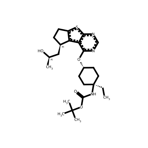 CC[C@]1(NC(=O)OC(C)(C)C)CC[C@H](Oc2ncnc3sc4c(c23)[C@@H](C[C@@H](C)O)CC4)CC1